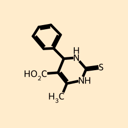 CC1=C(C(=O)O)C(c2ccccc2)NC(=S)N1